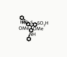 COc1cc(NCc2ccccc2)ccc1C(c1ccc(NCc2ccccc2)cc1OC)c1ccc(S(=O)(=O)O)cc1S(=O)(=O)O